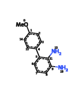 COc1ccc(-c2cccc(N)c2N)cc1